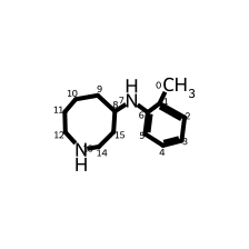 Cc1ccccc1NC1CCCCNCC1